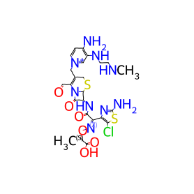 CNCCNc1c[n+](CC2=C(C=O)N3C(=O)C(NC(=O)/C(=N\O[C@@H](C)C(=O)O)c4nc(N)sc4Cl)C3SC2)ccc1N